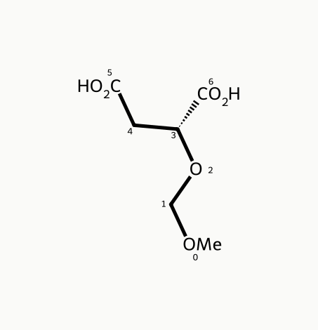 COCO[C@H](CC(=O)O)C(=O)O